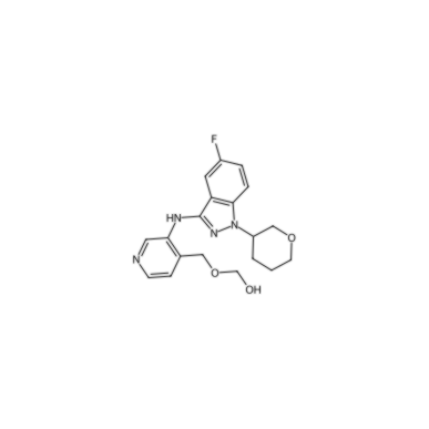 OCOCc1ccncc1Nc1nn(C2CCCOC2)c2ccc(F)cc12